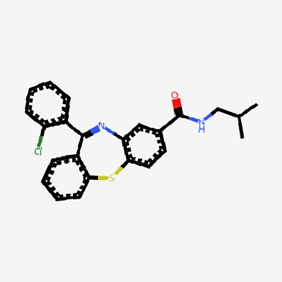 CC(C)CNC(=O)c1ccc2c(c1)N=C(c1ccccc1Cl)c1ccccc1S2